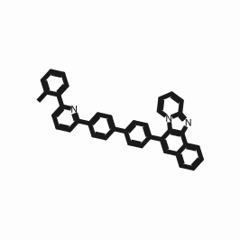 Cc1ccccc1-c1cccc(-c2ccc(-c3ccc(-c4cc5ccccc5c5nc6ccccn6c45)cc3)cc2)n1